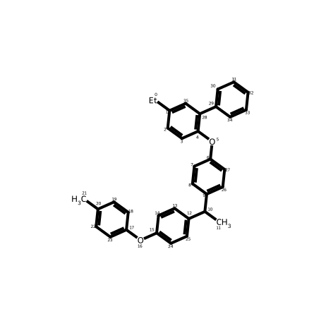 CCc1ccc(Oc2ccc(C(C)c3ccc(Oc4ccc(C)cc4)cc3)cc2)c(-c2ccccc2)c1